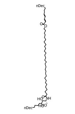 CCCCCCCCCCCCCC=CC=CC(=O)OCCCCCCCCCCCCCCCCCCCCCCCCCCCCCCC(=O)N[C@H](CO)[C@H](O)C(O)CCCCCCCCCCCCCC